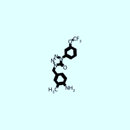 Cc1cc(Cn2nnn(-c3cccc(OC(F)(F)F)c3)c2=O)ccc1N